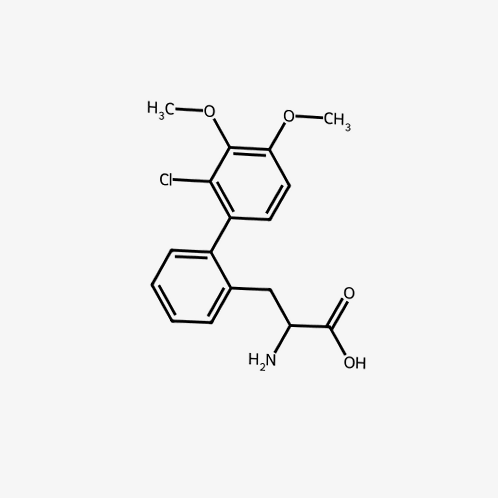 COc1ccc(-c2ccccc2CC(N)C(=O)O)c(Cl)c1OC